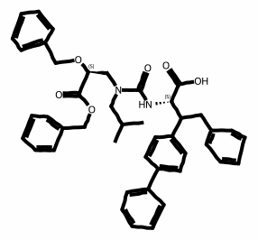 CC(C)CN(C[C@H](OCc1ccccc1)C(=O)OCc1ccccc1)C(=O)N[C@H](C(=O)O)C(Cc1ccccc1)c1ccc(-c2ccccc2)cc1